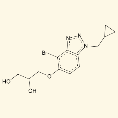 OCC(O)COc1ccc2c(nnn2CC2CC2)c1Br